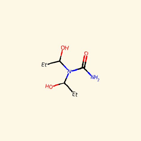 CCC(O)N(C(N)=O)C(O)CC